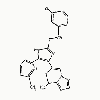 Cc1cccc(-c2[nH]c(CNc3cccc(Cl)c3)nc2C2=Cn3ncnc3C(C)C2)n1